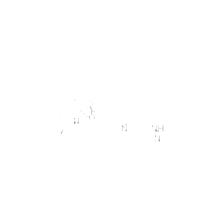 C[C@H]1CCC(c2ccccc2)S(=O)(=O)N1Cc1ccc(N2CCc3[nH]ncc3C2)cc1F